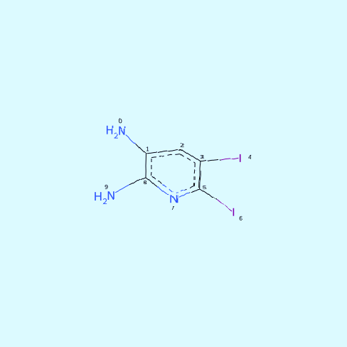 Nc1cc(I)c(I)nc1N